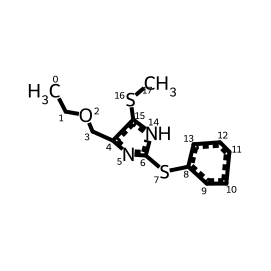 CCOCc1nc(Sc2ccccc2)[nH]c1SC